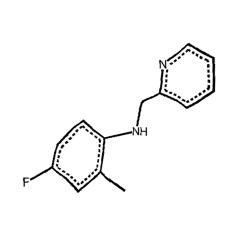 Cc1cc(F)ccc1NCc1ccccn1